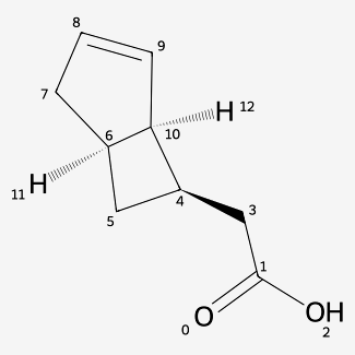 O=C(O)C[C@H]1C[C@H]2CC=C[C@H]21